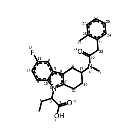 CCC(C(=O)O)n1c2c(c3cc(F)ccc31)CC(N(C)C(=O)Cc1ccccc1C)CC2